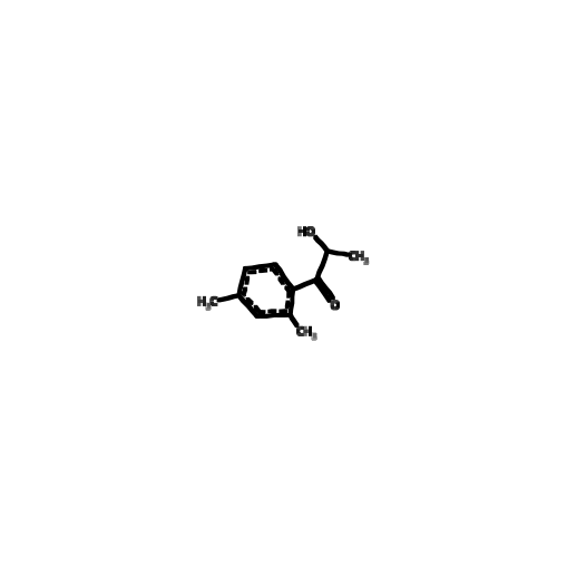 Cc1ccc(C(=O)C(C)O)c(C)c1